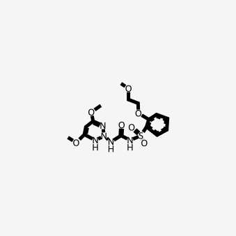 COCCOc1ccccc1S(=O)(=O)NC(=O)NN1N=C(OC)C=C(OC)N1